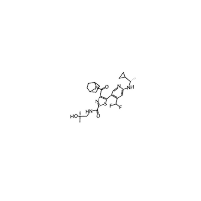 C[C@H](Nc1cc(C(F)F)c(-c2sc(C(=O)NCC(C)(C)O)nc2C(=O)N2C3CCC2CC3)cn1)C1CC1